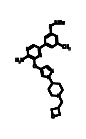 CNSc1cc(C)cc(-c2cnc(N)c(Oc3cnn(C4CCN(CC5COC5)CC4)c3)n2)c1